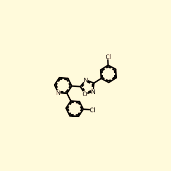 Clc1cccc(-c2noc(-c3cccnc3-c3cccc(Cl)c3)n2)c1